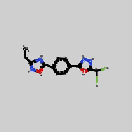 CCc1noc(-c2ccc(-c3nnc(C(F)F)o3)cc2)n1